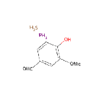 COc1cc(C=O)ccc1O.P.S